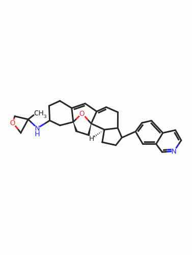 CC1(NC2CCC3=CC4=CCC5C(c6ccc7ccncc7c6)CC[C@H]5[C@@]45CC[C@]3(C2)O5)COC1